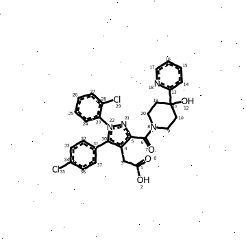 O=C(O)Cc1c(C(=O)N2CCC(O)(c3ccccn3)CC2)nn(-c2ccccc2Cl)c1-c1ccc(Cl)cc1